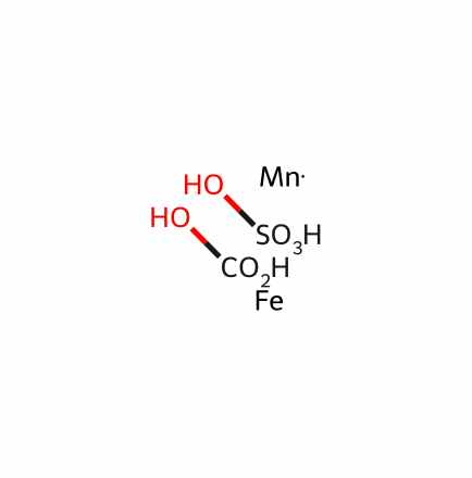 O=C(O)O.O=S(=O)(O)O.[Fe].[Mn]